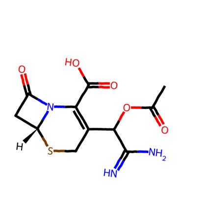 CC(=O)OC(C(=N)N)C1=C(C(=O)O)N2C(=O)C[C@H]2SC1